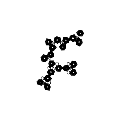 c1ccc(-n2c3ccccc3c3cc(-c4ccc5c(c4)c4ccccc4n5-c4cccc(-n5c6ccccc6c6cc(-c7ccc8c(c7)c7ccccc7n8-c7cc8c9c(c7)Oc7cc(-c%10cc%11c%12c(c%10)Oc%10ccccc%10N%12c%10ccccc%10O%11)ccc7N9c7ccc(-c9cc%10c%11c(c9)Oc9ccccc9N%11c9ccccc9O%10)cc7O8)ccc65)c4)ccc32)cc1